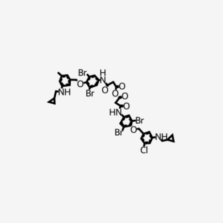 Cc1cc(COc2c(Br)cc(NC(=O)CC(=O)OC(=O)CC(=O)Nc3cc(Br)c(OCc4cc(Cl)cc(NCC5CC5)c4)c(Br)c3)cc2Br)cc(NCC2CC2)c1